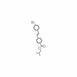 CC(C)COC(=O)c1ccc(C=Cc2ccc(Br)cc2)cc1